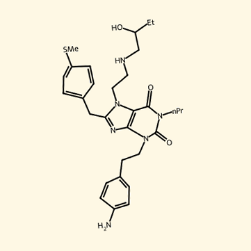 CCCn1c(=O)c2c(nc(Cc3ccc(SC)cc3)n2CCNCC(O)CC)n(CCc2ccc(N)cc2)c1=O